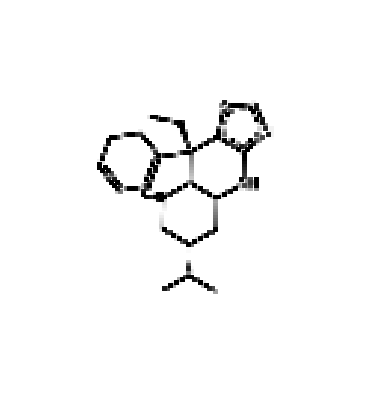 CC[C@@]1(C2=CC=CCC2)c2scnc2NC2C[C@H](C(C)C)CC(=O)C21